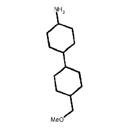 COCC1CCC(C2CCC(N)CC2)CC1